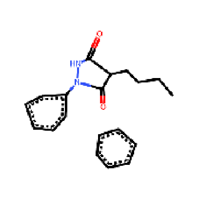 CCCCC1C(=O)NN(c2ccccc2)C1=O.c1ccccc1